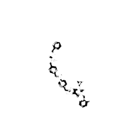 CN(C(=O)c1ccc(CNC(=O)OCc2ccccc2)cc1)c1ccc(Cc2nc3c([nH]2)c(=O)n(Cc2ccccc2F)c(=O)n3C2CC2)cc1